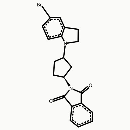 O=C1c2ccccc2C(=O)N1[C@H]1CCC(N2CCc3cc(Br)ccc32)C1